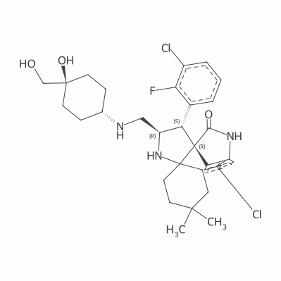 CC1(C)CCC2(CC1)N[C@@H](CN[C@H]1CC[C@@](O)(CO)CC1)[C@H](c1cccc(Cl)c1F)[C@]21C(=O)Nc2cc(Cl)ccc21